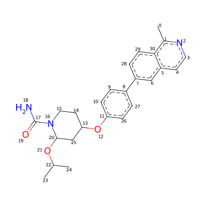 Cc1nccc2cc(-c3ccc(OC4CCN(C(N)=O)C(OC(C)C)C4)cc3)ccc12